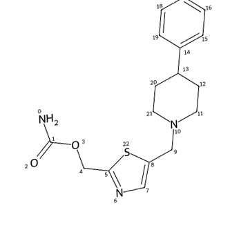 NC(=O)OCc1ncc(CN2CCC(c3ccccc3)CC2)s1